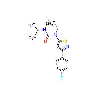 CCN(C(=O)N(C)C(C)C)c1cc(-c2ccc(F)cc2)ns1